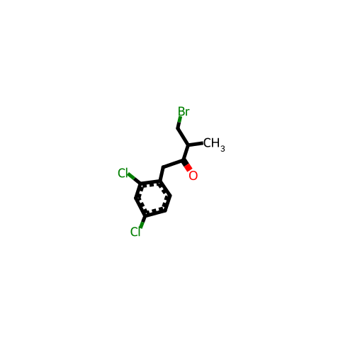 CC(CBr)C(=O)Cc1ccc(Cl)cc1Cl